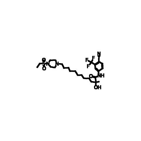 CCS(=O)(=O)N1CCN(CCCCCCCCCCC(C)(O)C(=O)Nc2ccc(C#N)c(C(F)(F)F)c2)CC1